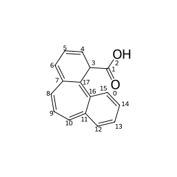 O=C(O)C1C=CC=C2C=CC=c3ccccc3=C21